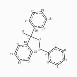 CC(C[CH]c1ccccc1)(c1ccccc1)c1ccccc1